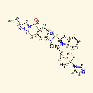 CC(COc1cccc2cc(-c3nc4cc5c(cc4n3C)CCN(CC(N)CF)C5=O)n(CC3CC3)c12)n1ccnc1